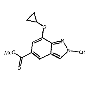 COC(=O)c1cc(OC2CC2)c2nn(C)cc2c1